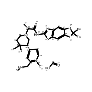 CNCc1cc([C@H]2CN([C@@H](C)C(=O)Nc3nc4cc5c(cc4s3)OC(F)(F)O5)CCC2(F)F)cc[n+]1[O-].O=CO